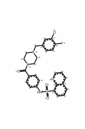 O=C(c1ccc(NS(=O)(=O)c2cccc3cccnc23)cc1)N1CCN(Cc2ccc(F)c(Cl)c2)CC1